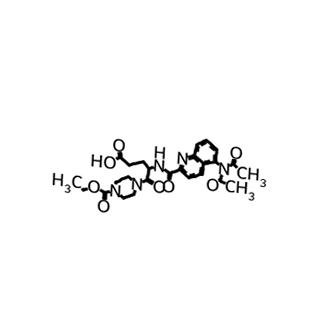 CCOC(=O)N1CCN(C(=O)C(CCC(=O)O)NC(=O)c2ccc3c(N(C(C)=O)C(C)=O)cccc3n2)CC1